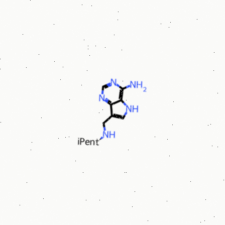 CCC[C@H](C)NCc1c[nH]c2c(N)ncnc12